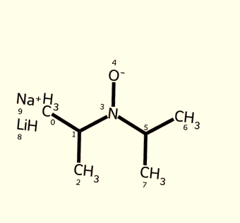 CC(C)N([O-])C(C)C.[LiH].[Na+]